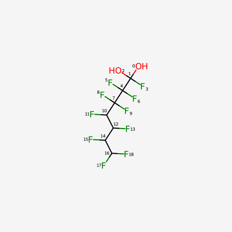 OC(O)(F)C(F)(F)C(F)(F)C(F)C(F)C(F)C(F)F